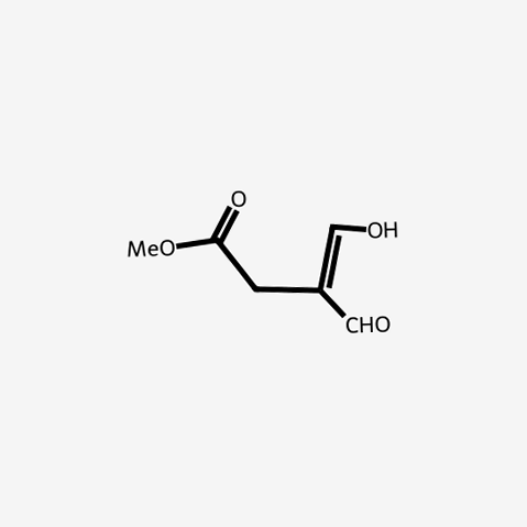 COC(=O)C/C(C=O)=C/O